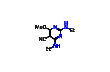 CCNc1nc(NCC)c(C#N)c(OC)n1